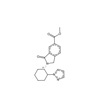 COC(=O)c1ccc2c(c1)C(=O)N([C@H]1CCCCC1n1cccn1)C2